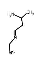 CCCCN=CCC(C)N